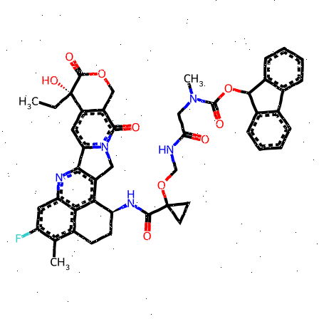 CC[C@@]1(O)C(=O)OCc2c1cc1n(c2=O)Cc2c-1nc1cc(F)c(C)c3c1c2[C@@H](NC(=O)C1(OCNC(=O)CN(C)C(=O)OC2c4ccccc4-c4ccccc42)CC1)CC3